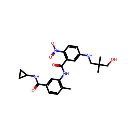 Cc1ccc(C(=O)NC2CC2)cc1NC(=O)c1cc(NCC(C)(C)CO)ccc1[N+](=O)[O-]